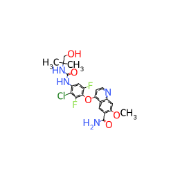 COc1cc2nccc(Oc3c(F)cc(NC(=O)NC(C)(C)CO)c(Cl)c3F)c2cc1C(N)=O